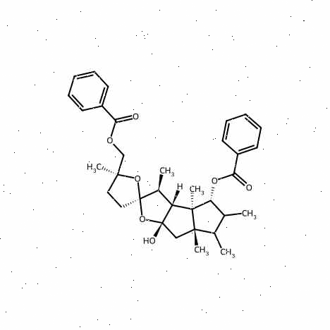 CC1C(C)[C@]2(C)C[C@]3(O)O[C@]4(CC[C@@](C)(COC(=O)c5ccccc5)O4)[C@@H](C)[C@@H]3[C@@]2(C)[C@@H]1OC(=O)c1ccccc1